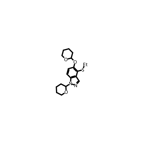 CCSc1c(OC2CCCCO2)ccc2c1cnn2C1CCCCO1